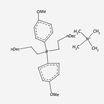 CCCCCCCCCCCC[B-](CCCCCCCCCCCC)(c1ccc(OC)cc1)c1ccc(OC)cc1.C[N+](C)(C)C